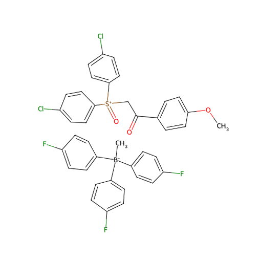 COc1ccc(C(=O)C[S+](=O)(c2ccc(Cl)cc2)c2ccc(Cl)cc2)cc1.C[B-](c1ccc(F)cc1)(c1ccc(F)cc1)c1ccc(F)cc1